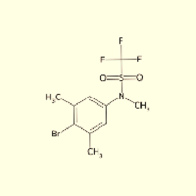 Cc1cc(N(C)S(=O)(=O)C(F)(F)F)cc(C)c1Br